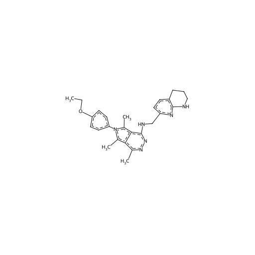 CCOc1ccc(-n2c(C)c3c(C)nnc(NCc4ccc5c(n4)NCCC5)c3c2C)cc1